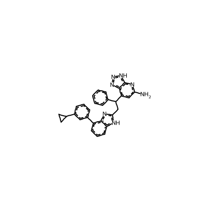 Nc1cc(C(Cc2nc3c(-c4cccc(C5CC5)c4)cccc3[nH]2)c2ccccc2)c2nn[nH]c2n1